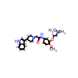 COc1ccc(NC(=O)CN2CCC(c3c[nH]c4ccccc34)CC2)cc1OCCN(C)C